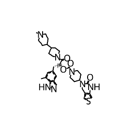 Cc1cc(C[C@@H](OC(=O)N2CCC(N3Cc4cscc4NC3=O)CC2)C(=O)N2CCC(C3CCN(C)CC3)CC2)cc2cn[nH]c12